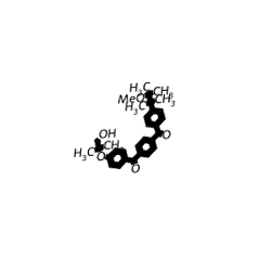 COC(C)(C)C(C)(C)c1ccc(C(=O)c2ccc(C(=O)c3ccc(OC(C)(C)CO)cc3)cc2)cc1